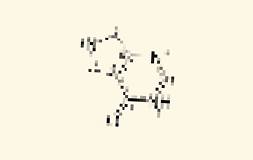 O=c1[nH]cnc2c1C=NC2